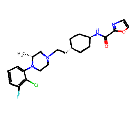 C[C@@H]1CN(CC[C@H]2CC[C@H](NC(=O)c3ncco3)CC2)CCN1c1cccc(F)c1Cl